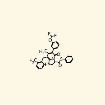 Cc1c(Cc2c(F)cccc2C(F)(F)F)c2n(c(=O)c1-c1cccc(OC(F)F)c1)C(C(=O)Sc1ccccc1)CS2